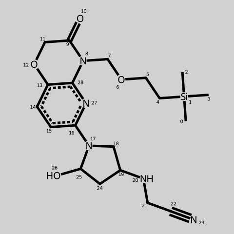 C[Si](C)(C)CCOCN1C(=O)COc2ccc(N3CC(NCC#N)CC3O)nc21